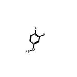 CCOc1ccc(F)c(F)c1